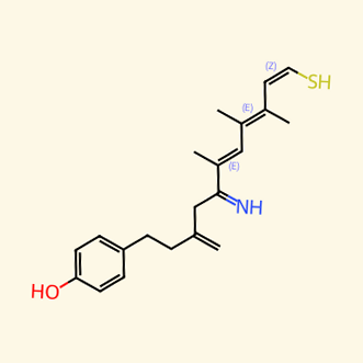 C=C(CCc1ccc(O)cc1)CC(=N)/C(C)=C/C(C)=C(C)/C=C\S